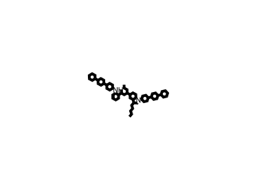 CCCCCC1CN(C2CCC(C3CCC(C4CCCCC4)CC3)CC2)C2CCC(C(CCC)CC(C)C3CCC=CC3NC3CCC(C4CCC(C5CCCCC5)CC4)CC3)CC12